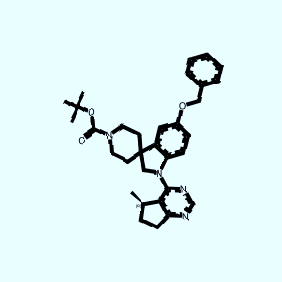 C[C@@H]1CCc2ncnc(N3CC4(CCN(C(=O)OC(C)(C)C)CC4)c4cc(OCc5ccccc5)ccc43)c21